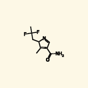 CC1=C(C(N)=O)C=NC1CC(C)(F)F